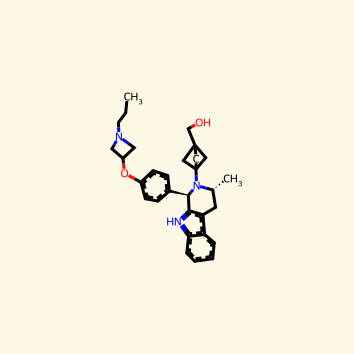 CCCN1CC(Oc2ccc([C@@H]3c4[nH]c5ccccc5c4C[C@@H](C)N3C34CC(CO)(C3)C4)cc2)C1